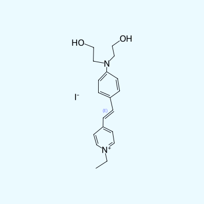 CC[n+]1ccc(/C=C/c2ccc(N(CCO)CCO)cc2)cc1.[I-]